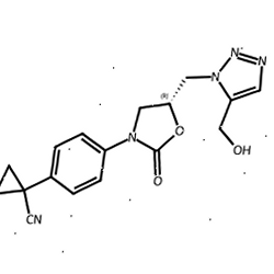 N#CC1(c2ccc(N3C[C@H](Cn4nncc4CO)OC3=O)cc2)CC1